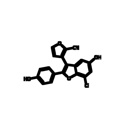 N#Cc1occc1-c1c(-c2ccc(O)cc2)oc2c(Cl)cc(O)cc12